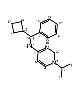 CC(C)N1C=CC(N[C@H](c2ccccc2)C2CCC2)=NC1